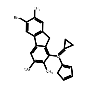 Cc1cc2c(cc1C(C)(C)C)-c1cc(C(C)(C)C)c(C)[c]([Zr]([C]3=CC=CC3)=[C]3CC3)c1C2